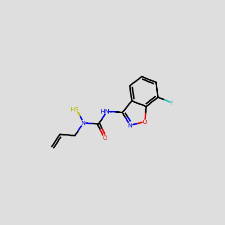 C=CCN(S)C(=O)Nc1noc2c(F)cccc12